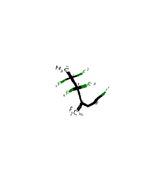 CC(F)(F)C(F)(F)C(CF)C(F)(F)F